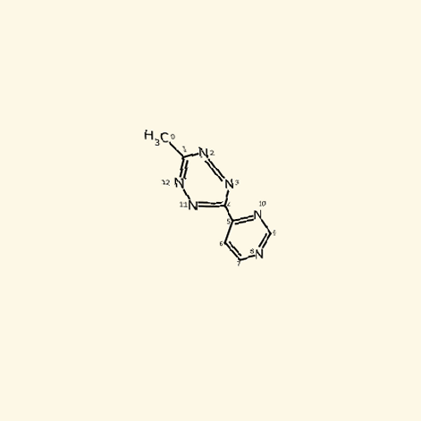 Cc1nnc(-c2ccncn2)nn1